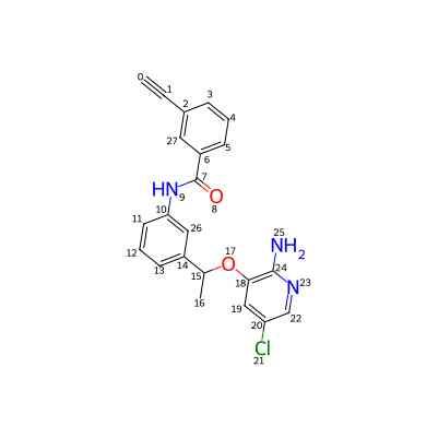 C#Cc1cccc(C(=O)Nc2cccc(C(C)Oc3cc(Cl)cnc3N)c2)c1